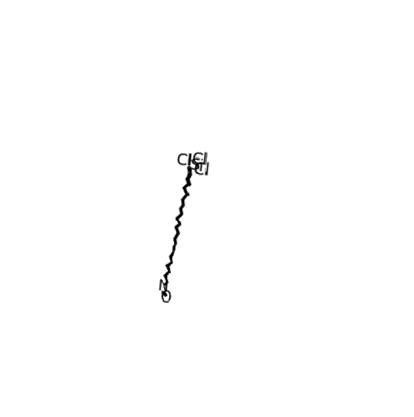 O=C=NCCCCCCCCCCCCCCCCCCCCCCCC[Si](Cl)(Cl)Cl